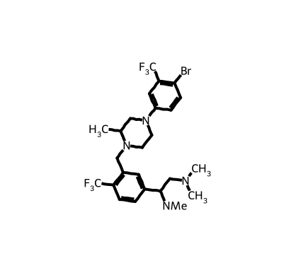 CNC(CN(C)C)c1ccc(C(F)(F)F)c(CN2CCN(c3ccc(Br)c(C(F)(F)F)c3)CC2C)c1